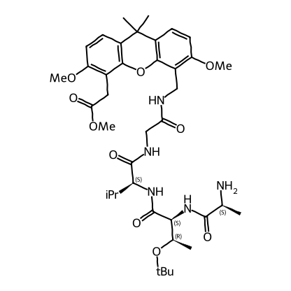 COC(=O)Cc1c(OC)ccc2c1Oc1c(ccc(OC)c1CNC(=O)CNC(=O)[C@@H](NC(=O)[C@@H](NC(=O)[C@H](C)N)[C@@H](C)OC(C)(C)C)C(C)C)C2(C)C